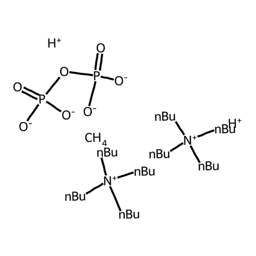 C.CCCC[N+](CCCC)(CCCC)CCCC.CCCC[N+](CCCC)(CCCC)CCCC.O=P([O-])([O-])OP(=O)([O-])[O-].[H+].[H+]